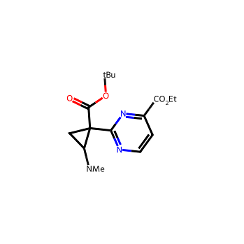 CCOC(=O)c1ccnc(C2(C(=O)OC(C)(C)C)CC2NC)n1